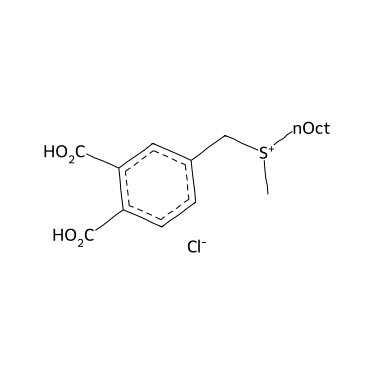 CCCCCCCC[S+](C)Cc1ccc(C(=O)O)c(C(=O)O)c1.[Cl-]